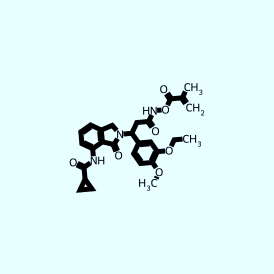 C=C(C)C(=O)ONC(=O)CC(c1ccc(OC)c(OCC)c1)N1Cc2cccc(NC(=O)C3CC3)c2C1=O